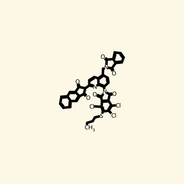 CCCCSc1c(Cl)c(Cl)c2c(c1Cl)C(=O)N(c1ccc(CN3C(=O)c4ccccc4C3=O)c3ccc(C4C(=O)c5cc6ccccc6cc5C4=O)nc13)C2=O